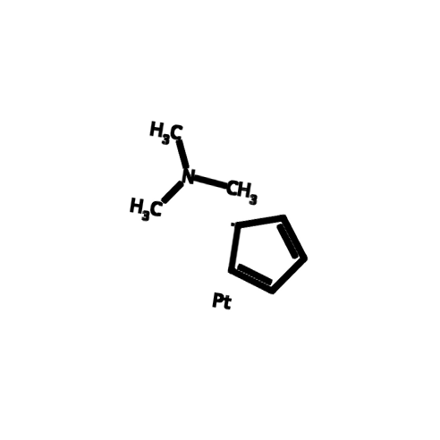 CN(C)C.[CH]1C=CC=C1.[Pt]